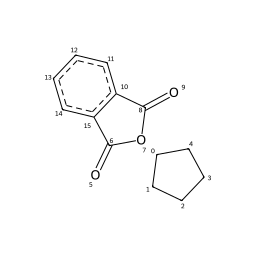 C1CCCC1.O=C1OC(=O)c2ccccc21